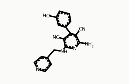 N#Cc1c(N)nc(NCc2ccncc2)c(C#N)c1-c1cccc(O)c1